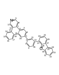 c1cc(-c2ccc3c4ccncc4c4ccccc4c3c2)cc(-c2cccc3c2oc2ccccc23)c1